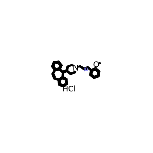 COc1ccccc1/C=C/CN1CCC(=C2c3ccccc3C=Cc3ccccc32)CC1.Cl